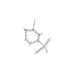 CS(=O)(=O)c1ccnc(I)n1